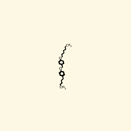 CCCCCCCOc1ccc(COc2ccc(CCCCC)cc2)cc1